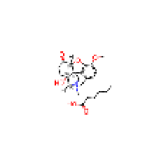 CCCCCC(=O)O.COc1ccc2c3c1O[C@H]1C(=O)CC[C@@]4(O)[C@@H](C2)N(C)CC[C@]314